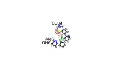 COc1nc(-c2cccc(-c3ccnc(-c4ccc5c(c4)S(=O)(=O)CCN(C(=O)O)C5)c3Cl)c2Cl)ccc1C=O